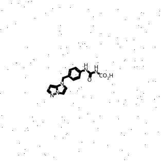 O=C(O)NC(=O)Nc1ccc(Cn2ccn3nccc23)cc1